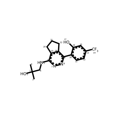 CC(C)(O)CNc1nnc(-c2ccc(C(F)(F)F)cc2O)c2c1CCC2